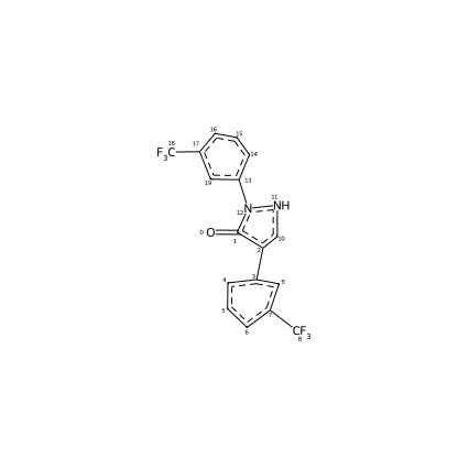 O=c1c(-c2cccc(C(F)(F)F)c2)c[nH]n1-c1cccc(C(F)(F)F)c1